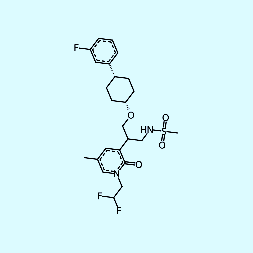 Cc1cc(C(CNS(C)(=O)=O)CO[C@H]2CC[C@@H](c3cccc(F)c3)CC2)c(=O)n(CC(F)F)c1